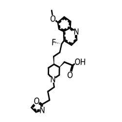 COc1ccc2nccc([C@@H](F)CC[C@@H]3CCN(CCCc4ncco4)C[C@@H]3CC(=O)O)c2c1